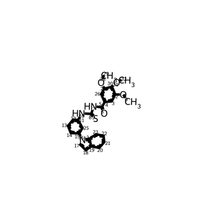 COc1cc(C(=O)NC(=S)Nc2cccc(-n3ccc4ccccc43)c2)cc(OC)c1OC